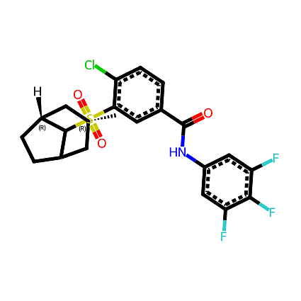 C[C@@H]1CC2CC[C@H](C1)C2S(=O)(=O)c1cc(C(=O)Nc2cc(F)c(F)c(F)c2)ccc1Cl